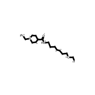 CC(C)CN1CCC(C(=O)NCCCCCCCOCI)CC1